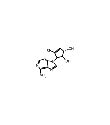 Nc1ncnc2c1ncn2C1C(Cl)=C[C@H](O)[C@H]1O